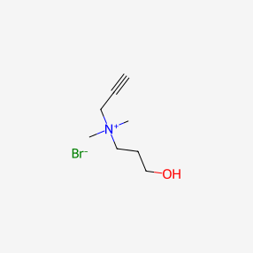 C#CC[N+](C)(C)CCCO.[Br-]